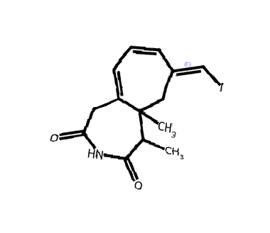 CC1C(=O)NC(=O)CC2=CC=C/C(=C/I)CC21C